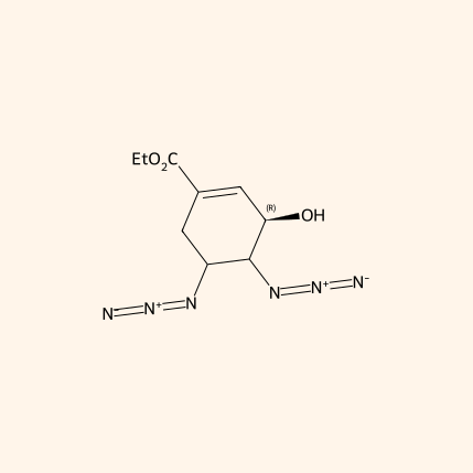 CCOC(=O)C1=C[C@@H](O)C(N=[N+]=[N-])C(N=[N+]=[N-])C1